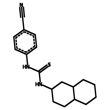 N#Cc1ccc(NC(=S)NC2CCC3CCCCC3C2)cc1